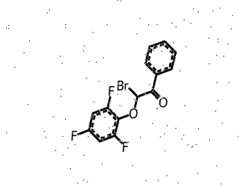 O=C(c1ccccc1)C(Br)Oc1c(F)cc(F)cc1F